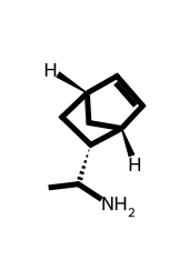 CC(N)[C@@H]1C[C@@H]2C=C[C@H]1C2